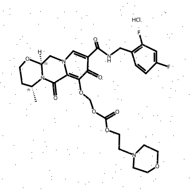 C[C@@H]1CCO[C@H]2Cn3cc(C(=O)NCc4ccc(F)cc4F)c(=O)c(OCOC(=O)OCCN4CCOCC4)c3C(=O)N12.Cl